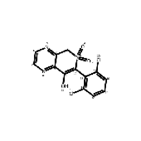 O=S1(=O)Cc2nccnc2C(O)=C1c1c(Cl)cccc1Cl